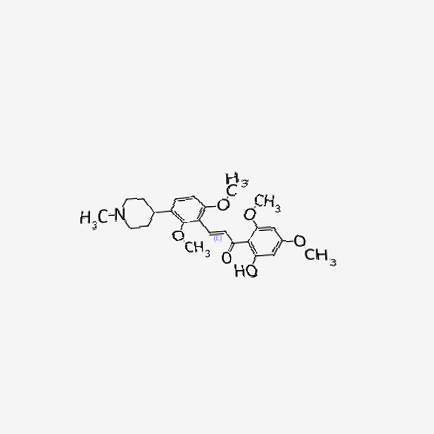 COc1cc(O)c(C(=O)/C=C/c2c(OC)ccc(C3CCN(C)CC3)c2OC)c(OC)c1